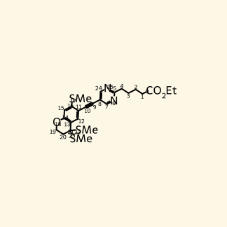 CCOC(=O)CCCCc1ncc(C#Cc2cc3c(cc2SC)OCCC3(SC)SC)cn1